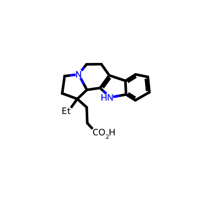 CCC1(CCC(=O)O)CCN2CCc3c([nH]c4ccccc34)C21